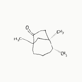 C[C@@H]1CCC2(C)C[C@@]1(C)CC2=O